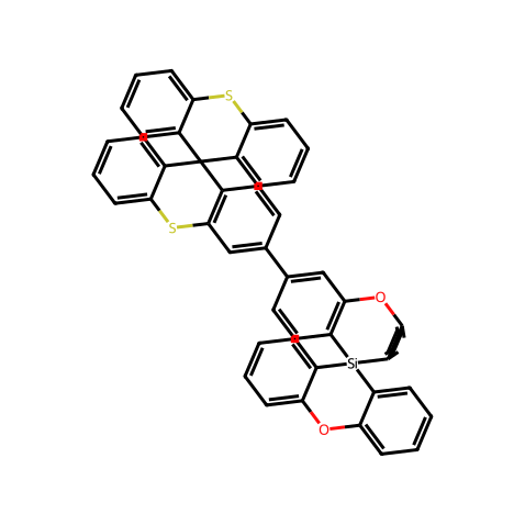 c1ccc2c(c1)Oc1ccccc1[Si]21c2ccccc2Oc2cc(-c3ccc4c(c3)Sc3ccccc3C43c4ccccc4Sc4ccccc43)ccc21